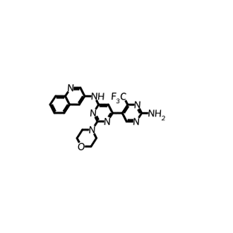 Nc1ncc(-c2cc(Nc3cnc4ccccc4c3)nc(N3CCOCC3)n2)c(C(F)(F)F)n1